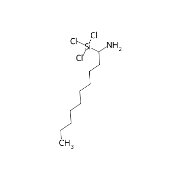 CCCCCCCCCC(N)[Si](Cl)(Cl)Cl